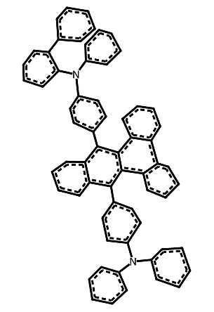 c1ccc(-c2ccccc2N(c2ccccc2)c2ccc(-c3c4ccccc4c(-c4ccc(N(c5ccccc5)c5ccccc5)cc4)c4c5ccccc5c5ccccc5c34)cc2)cc1